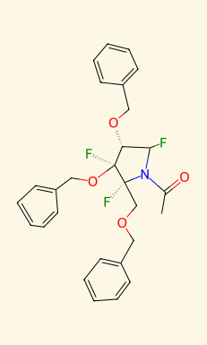 CC(=O)N1C(F)[C@@H](OCc2ccccc2)[C@](F)(OCc2ccccc2)[C@]1(F)COCc1ccccc1